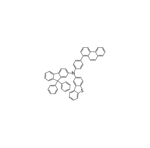 c1ccc(C2(c3ccccc3)c3ccccc3-c3ccc(N(c4ccc(-c5cccc6c5ccc5ccccc56)cc4)c4ccc5sc6ccccc6c5c4)cc32)cc1